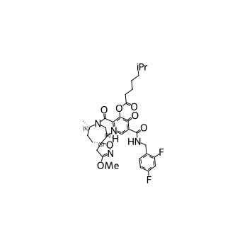 COC1=NO[C@@]2(CC[C@H](C)N3C[C@H]2n2cc(C(=O)NCc4ccc(F)cc4F)c(=O)c(OC(=O)CCCCC(C)C)c2C3=O)C1